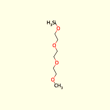 COCCOCCOCCO[SiH3]